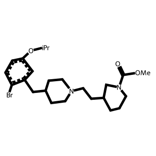 COC(=O)N1CCCC(CCN2CCC(Cc3cc(OC(C)C)ccc3Br)CC2)C1